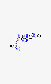 CCc1c(NC(=O)OCCOC(C)(C)CN)cn2ncnc(Nc3ccc4c(cnn4Cc4ccccc4)c3)c12